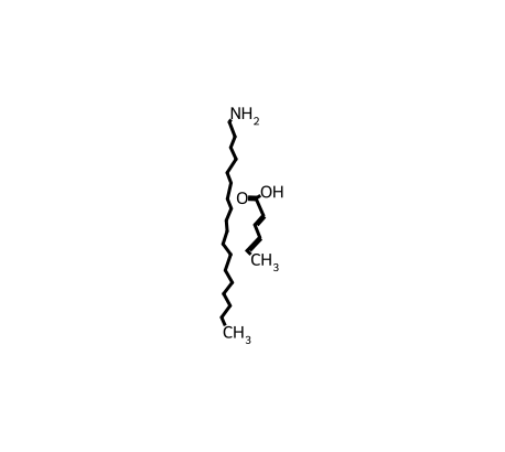 CC=CC=CC(=O)O.CCCCCCCCCCCCCCCCCCN